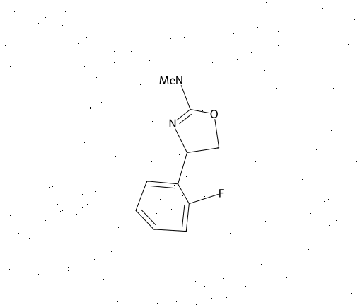 CNC1=NC(c2ccccc2F)CO1